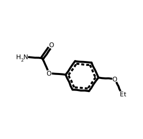 CCOc1ccc(OC(N)=O)cc1